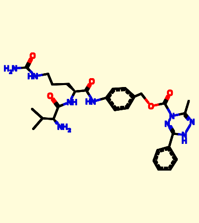 CC1=NNC(c2ccccc2)=NN1C(=O)OCc1ccc(NC(=O)[C@H](CCCNC(N)=O)NC(=O)[C@@H](N)C(C)C)cc1